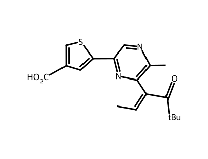 C/C=C(/C(=O)C(C)(C)C)c1nc(-c2cc(C(=O)O)cs2)cnc1C